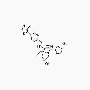 CCC1(C(=O)NCc2ccc(-c3scnc3C)cc2)C[C@@H](O)CN1C(O)c1cccc(OC)c1